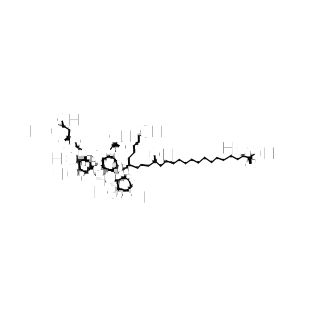 CCCCCCC(CCCC(O)CCCCCCCCCCCCCC(O)C(=O)O)O[C@H]1OC[C@H](O)[C@@H](O)[C@@H]1O[C@H]1OC[C@H](OC(C)=O)[C@@H](O)[C@@H]1O[C@H]1O[C@@H](CCOC(=O)CC(C)C)[C@H](O)[C@@H](O)[C@@H]1O